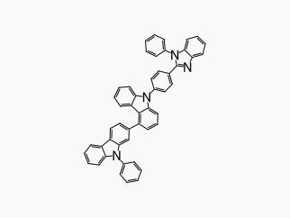 c1ccc(-n2c(-c3ccc(-n4c5ccccc5c5c(-c6ccc7c8ccccc8n(-c8ccccc8)c7c6)cccc54)cc3)nc3ccccc32)cc1